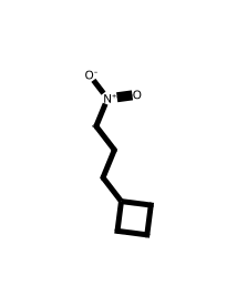 O=[N+]([O-])[CH]CCC1CCC1